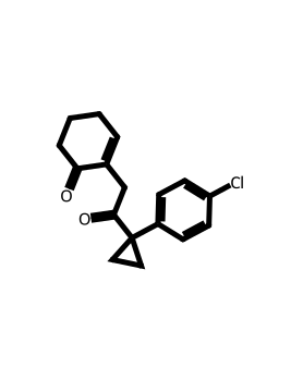 O=C1CCCC=C1CC(=O)C1(c2ccc(Cl)cc2)CC1